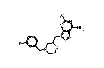 Nc1nc(C(F)(F)F)nc2c1nnn2CC1CN(Cc2cccc(F)c2)CCO1